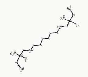 CCC(CO)(CNCCCCCCNCC(CC)(CO)[N+](=O)[O-])[N+](=O)[O-]